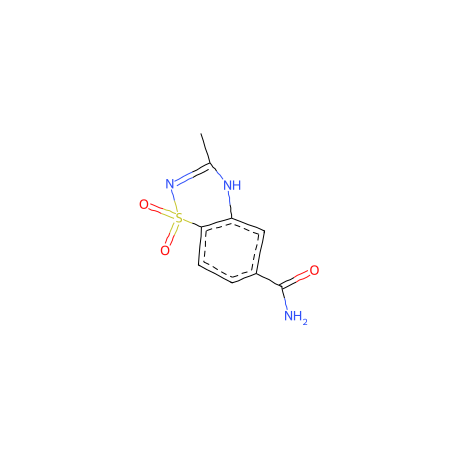 CC1=NS(=O)(=O)c2ccc(C(N)=O)cc2N1